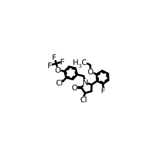 CCOc1cccc(F)c1C1CC(Cl)C(=O)N1Cc1ccc(OC(F)(F)F)c(Cl)c1